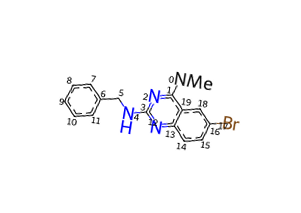 CNc1nc(NCc2ccccc2)nc2ccc(Br)cc12